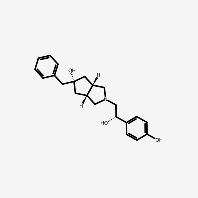 Oc1ccc([C@H](O)CN2C[C@@H]3C[C@@](O)(Cc4ccccc4)C[C@@H]3C2)cc1